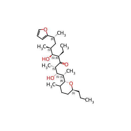 CCC[C@H]1CCC(C)[C@H]([C@@H](C)[C@H](O)[C@H](C)C(=O)[C@H](CC)[C@@H](O)[C@@H](C)C[C@@H](C)c2ccco2)O1